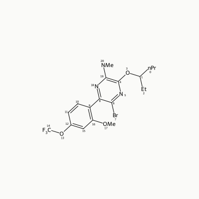 CCCC(CC)Oc1nc(Br)c(-c2ccc(OC(F)(F)F)cc2OC)nc1NC